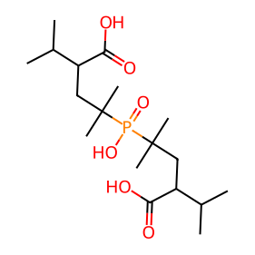 CC(C)C(CC(C)(C)P(=O)(O)C(C)(C)CC(C(=O)O)C(C)C)C(=O)O